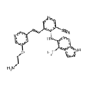 Cc1c(Nc2c(C#N)cncc2/C=C/c2cncc(OCCN)c2)ccc2[nH]ccc12